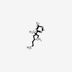 CCCCCC(C)(CC)c1cc(F)ncn1